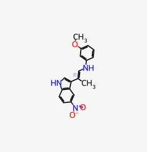 COc1cccc(N/C=C(\C)c2c[nH]c3ccc([N+](=O)[O-])cc23)c1